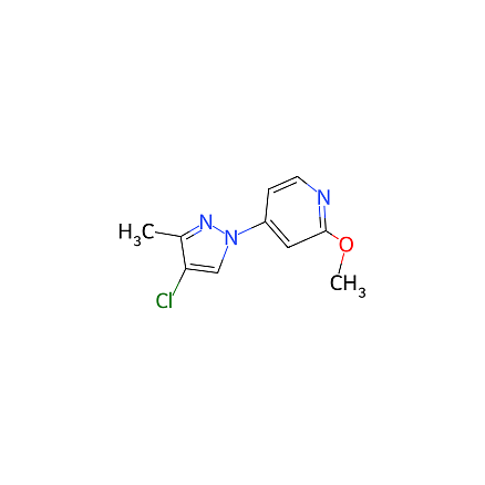 COc1cc(-n2cc(Cl)c(C)n2)ccn1